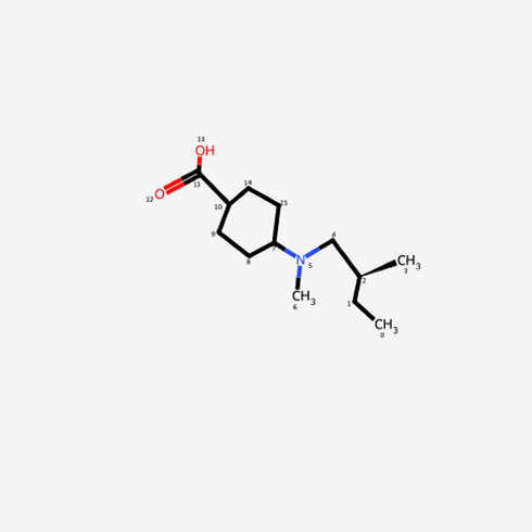 CC[C@H](C)CN(C)C1CCC(C(=O)O)CC1